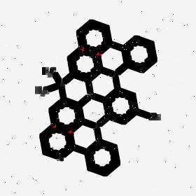 CC(C)(C)c1cc2c3c(c1)N(c1ccccc1-c1ccccn1)c1cccc4c1B3c1c(cccc1[Si]4(C)C)N2c1ccccc1-c1ccccn1